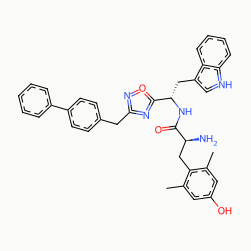 Cc1cc(O)cc(C)c1C[C@H](N)C(=O)N[C@@H](Cc1c[nH]c2ccccc12)c1nc(Cc2ccc(-c3ccccc3)cc2)no1